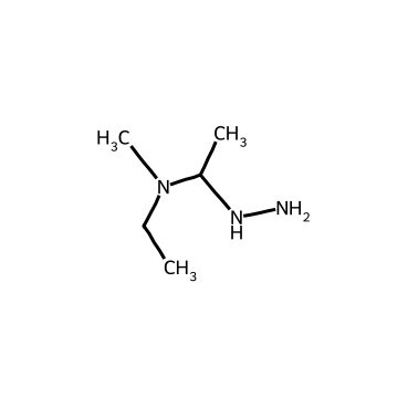 CCN(C)C(C)NN